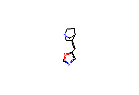 C(=C1CN2CCC1C2)c1cnco1